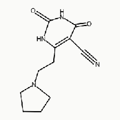 N#Cc1c(CCN2CCCC2)[nH]c(=O)[nH]c1=O